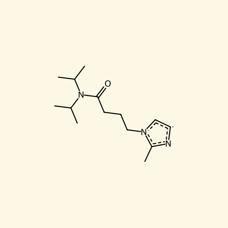 Cc1n[c]cn1CCCC(=O)N(C(C)C)C(C)C